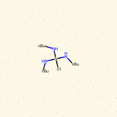 CCCCN[Si](CC)(NCCCC)NCCCC